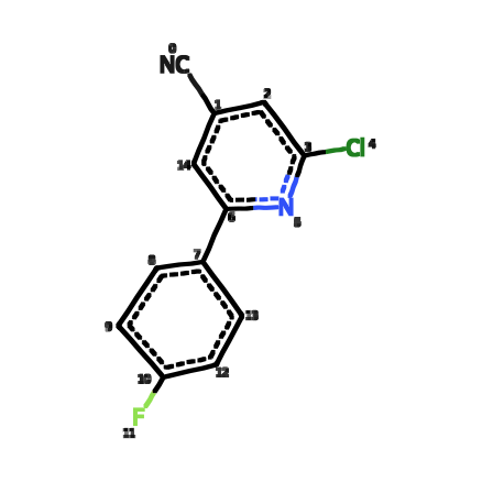 N#Cc1cc(Cl)nc(-c2ccc(F)cc2)c1